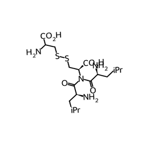 CC(C)C[C@H](N)C(=O)N(C(=O)[C@@H](N)CC(C)C)[C@@H](CSSCC(N)C(=O)O)C(=O)O